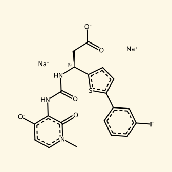 Cn1ccc([O-])c(NC(=O)N[C@@H](CC(=O)[O-])c2ccc(-c3cccc(F)c3)s2)c1=O.[Na+].[Na+]